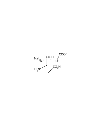 CC(=O)O.NCC(=O)O.O=C([O-])[O-].[Na+].[Na+]